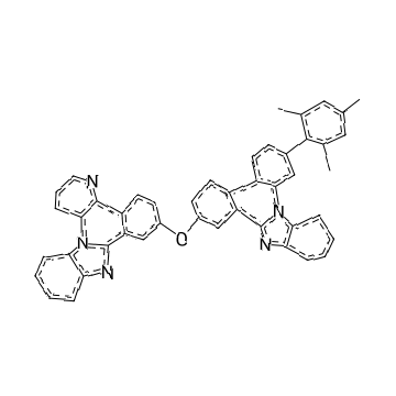 Cc1cc(C)c(-c2ccc3c4ccc(Oc5ccc6c(c5)c5nc7ccccc7n5c5cccnc65)cc4c4nc5ccccc5n4c3c2)c(C)c1